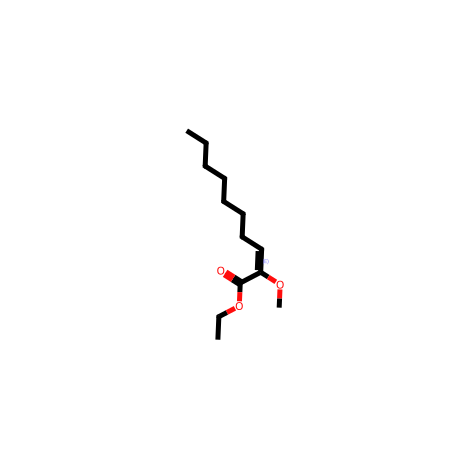 CCCCCCC/C=C(/OC)C(=O)OCC